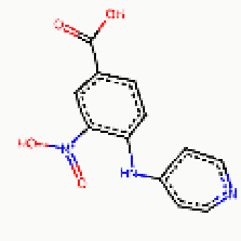 O=C(O)c1ccc(Nc2ccncc2)c([N+](=O)O)c1